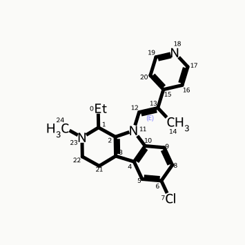 CCC1c2c(c3cc(Cl)ccc3n2/C=C(\C)c2ccncc2)CCN1C